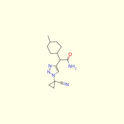 CC1CCC([C](C(N)=O)c2cn(C3(C#N)CC3)nn2)CC1